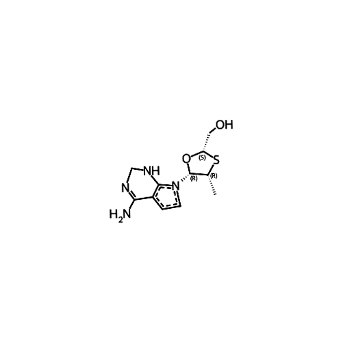 C[C@H]1S[C@@H](CO)O[C@H]1n1ccc2c1NCN=C2N